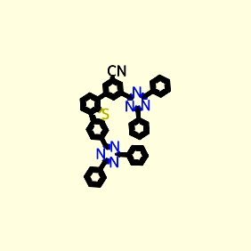 N#Cc1cc(-c2nc(-c3ccccc3)nc(-c3ccccc3)n2)cc(-c2cccc3c2sc2cc(-c4nc(-c5ccccc5)nc(-c5ccccc5)n4)ccc23)c1